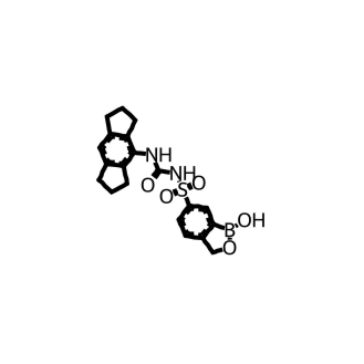 O=C(Nc1c2c(cc3c1CCC3)CCC2)NS(=O)(=O)c1ccc2c(c1)B(O)OC2